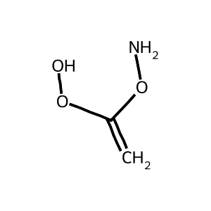 C=C(ON)OO